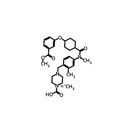 COC(=O)c1cccc(OC2CCC(C(=O)N(C)c3ccc(CN4CCN(C(=O)O)[C@@H](C)C4)c(C)c3)CC2)c1